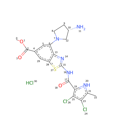 COC(=O)c1cc(N2CC[C@H](N)C2)c2nc(NC(=O)c3[nH]c(C)c(Cl)c3Cl)sc2c1.Cl